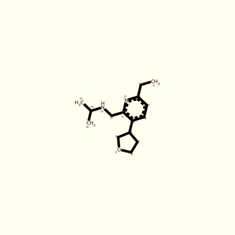 CCc1ccc(C2CCOC2)c(CNC(C)C)n1